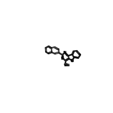 CC(C)(C)c1nc(-c2ccc3ccccc3c2)nc2c1oc1ccccc12